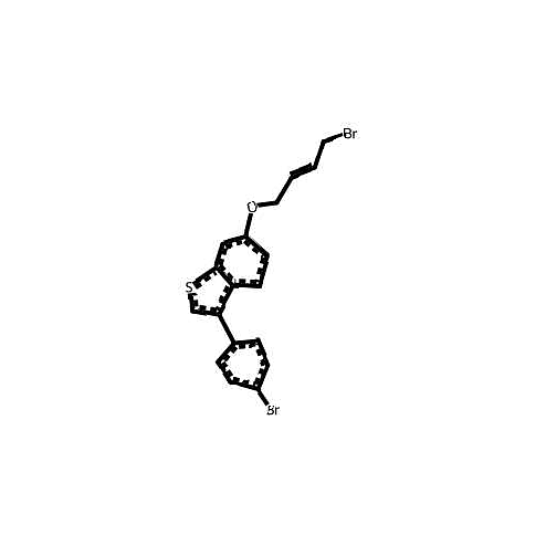 BrCC=CCOc1ccc2c(-c3ccc(Br)cc3)csc2c1